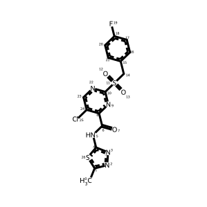 Cc1nnc(NC(=O)c2nc(S(=O)(=O)Cc3ccc(F)cc3)ncc2Cl)s1